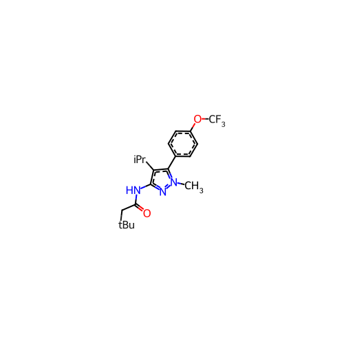 CC(C)c1c(NC(=O)CC(C)(C)C)nn(C)c1-c1ccc(OC(F)(F)F)cc1